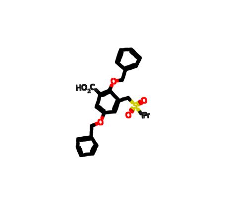 CC(C)S(=O)(=O)Cc1cc(OCc2ccccc2)cc(C(=O)O)c1OCc1ccccc1